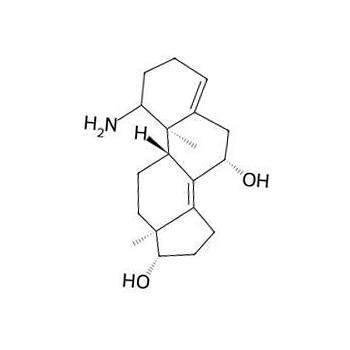 C[C@]12CC[C@H]3C(=C1CC[C@@H]2O)[C@@H](O)CC1=CCCC(N)[C@@]13C